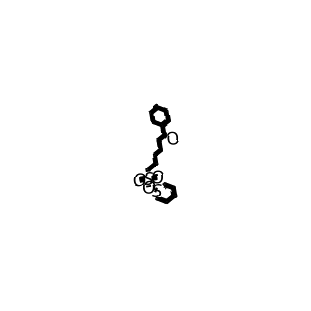 O=C(CCCCCS(=O)(=O)O[S+]1CCCCC1)C1CCCCC1